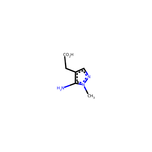 Cn1ncc(CC(=O)O)c1N